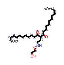 CCCCCCCC/C=C\CCCCCCCC(=O)C(CCNOCCO)C(=O)CCCCCCC/C=C\CCCCCCCC